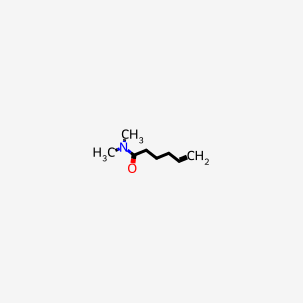 C=CCCCC(=O)N(C)C